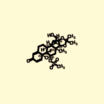 CC1(C)O[C@@H]2C[C@H]3[C@@H]4CCC5=CC(=O)C=C[C@]5(C)[C@@]4(F)[C@@H](OS(C)(=O)=O)C[C@]3(C)[C@]2(C(=O)CO)O1